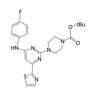 CC(C)(C)OC(=O)N1CCN(c2nc(Nc3ccc(F)cc3)cc(-c3nccs3)n2)CC1